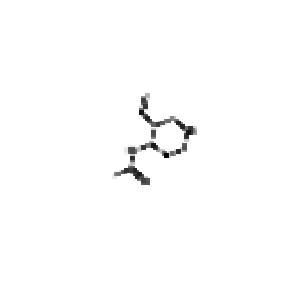 C=CC1CNCCC1NC(C)=O